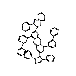 CC/C=C(/c1ccccc1)N(CC1C=CC=CC1)c1cc(-c2cccc(-c3ccccc3)c2)c2cc3cc(-n4c(-c5ccccc5)ccc4-c4ccccc4)cc(-c4cccc(-c5ccccc5)c4)c3cc2c1